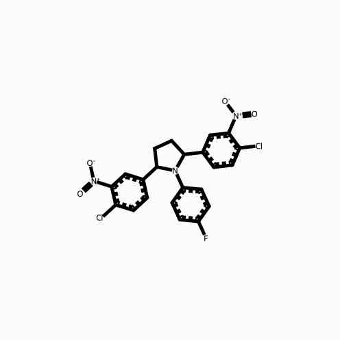 O=[N+]([O-])c1cc(C2CCC(c3ccc(Cl)c([N+](=O)[O-])c3)N2c2ccc(F)cc2)ccc1Cl